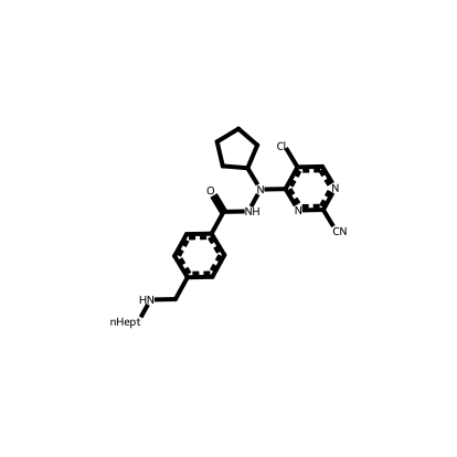 CCCCCCCNCc1ccc(C(=O)NN(c2nc(C#N)ncc2Cl)C2CCCC2)cc1